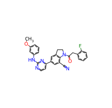 COc1cccc(Nc2nccc(-c3cc(C#N)c4c(c3)CCN4C(=O)Cc3ccccc3F)n2)c1